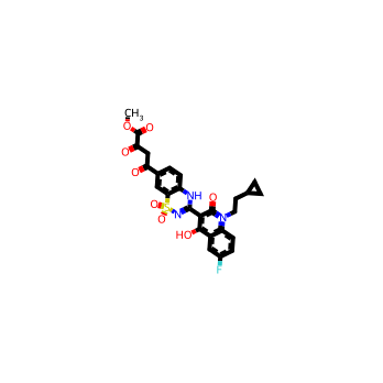 COC(=O)C(=O)CC(=O)c1ccc2c(c1)S(=O)(=O)N=C(c1c(O)c3cc(F)ccc3n(CCC3CC3)c1=O)N2